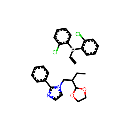 C=CB(c1ccccc1Cl)c1ccccc1Cl.CCC(Cn1ccnc1-c1ccccc1)C1OCCO1